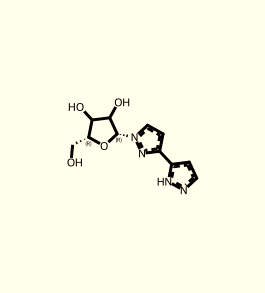 OC[C@H]1O[C@@H](n2ccc(-c3ccn[nH]3)n2)C(O)C1O